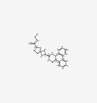 CCOC(=O)N1CC[C@]2(C1)C[C@H](N1CCN(c3ncccc3-c3cnccn3)CC1)C2